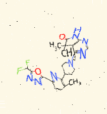 Cc1ccc(-c2nnc(C(F)F)o2)nc1C1CCN(c2ncnc3c2C(C)(C)C(=O)N3)CC1